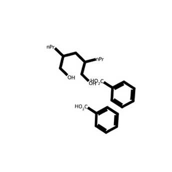 CCCC(CO)CC(CO)CCC.O=C(O)c1ccccc1.O=C(O)c1ccccc1